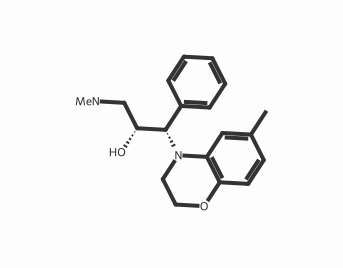 CNC[C@@H](O)[C@H](c1ccccc1)N1CCOc2ccc(C)cc21